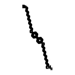 C=CCCCCCCCCCOc1ccc(-c2ccc(OCCCCCCCCCCCBr)cc2)cc1